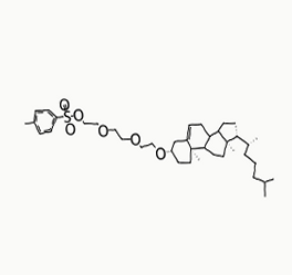 Cc1ccc(S(=O)(=O)OCCOCCOCCO[C@H]2CC[C@@]3(C)C(=CCC4C3CC[C@@]3(C)C4CC[C@@H]3[C@H](C)CCCC(C)C)C2)cc1